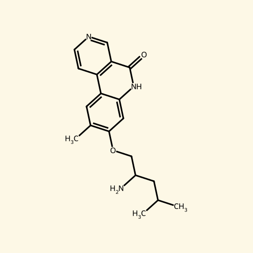 Cc1cc2c(cc1OCC(N)CC(C)C)[nH]c(=O)c1cnccc12